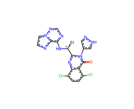 CC[C@H](Nc1ncnn2ccnc12)c1nc2c(Cl)ccc(Cl)c2c(=O)n1-c1cn[nH]c1